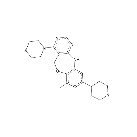 Cc1cc(C2CCNCC2)cc2c1OCc1c(ncnc1N1CCSCC1)N2